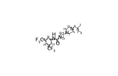 CC=C(C)CN1CCN(C2CN(C(=O)Nc3cc(C(F)(F)F)cc(C(F)(F)F)c3)C2)CC1